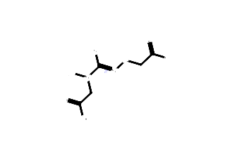 CN(CC(=O)O)/C(N)=N/SCC(=O)O